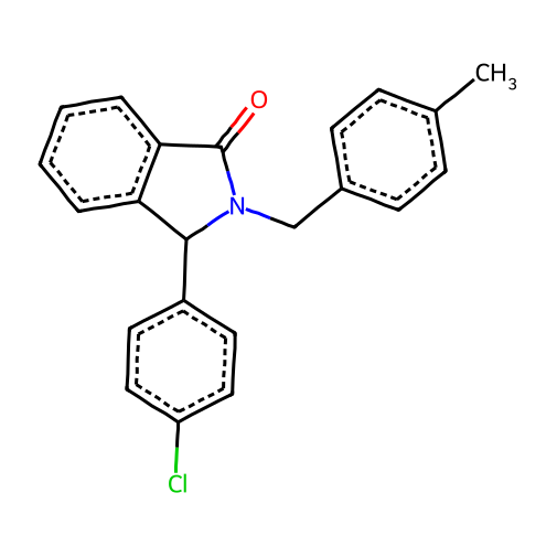 Cc1ccc(CN2C(=O)c3ccccc3C2c2ccc(Cl)cc2)cc1